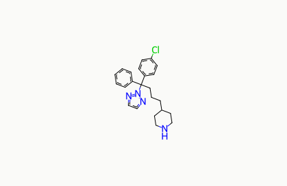 Clc1ccc(C(CCCC2CCNCC2)(c2ccccc2)n2nccn2)cc1